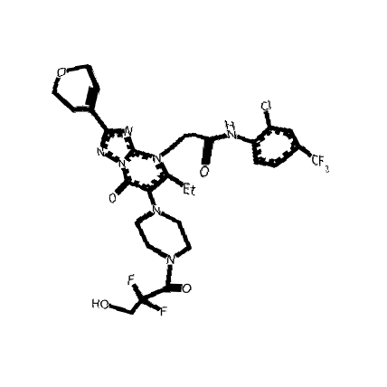 CCc1c(N2CCN(C(=O)C(F)(F)CO)CC2)c(=O)n2nc(C3=CCOCC3)nc2n1CC(=O)Nc1ccc(C(F)(F)F)cc1Cl